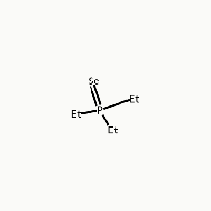 CCP(=[Se])(CC)CC